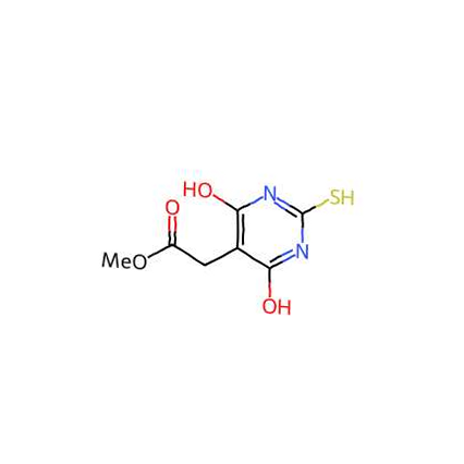 COC(=O)Cc1c(O)nc(S)nc1O